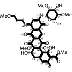 COCCC/N=C1\C=C(N[C@H]2O[C@@H](C)[C@H](OC)[C@@H](O)[C@H]2OC)C(=O)c2cc3c(c(O)c21)C(=O)[C@]1(OC)[C@H](O)Cc2cc(C)c(C(=O)OC)c(O)c2[C@]1(O)C3=O